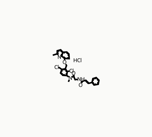 Cc1ccc2cccc(OCc3c(Cl)ccc(N(C)C(=O)CNC(=O)/C=C/c4ccccc4)c3Cl)c2n1.Cl